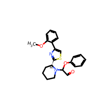 COc1ccccc1-c1csc([C@H]2CCCCN2C(C=O)Oc2ccccc2)n1